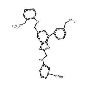 CCOC(=O)Cc1ccccc1OCc1cc(-c2cccc(CN)c2)c2oc(CNc3cncc(OC)c3)cc2c1